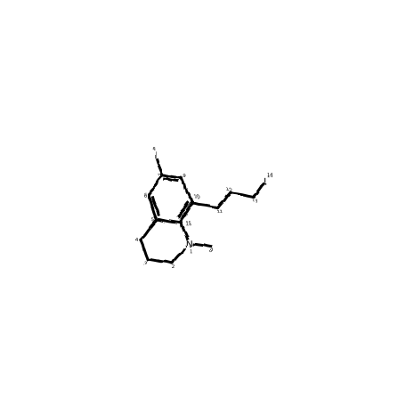 CN1CCCc2cc(I)cc(CCCI)c21